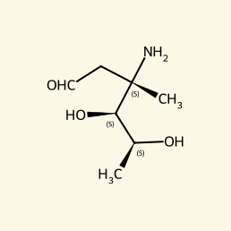 C[C@H](O)[C@@H](O)[C@@](C)(N)CC=O